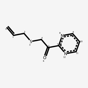 C=CCSCC(=O)c1ncccn1